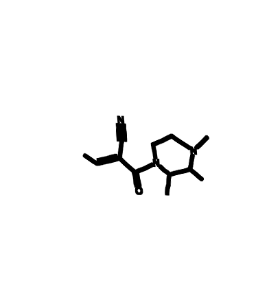 C/C=C(\C#N)C(=O)N1CCN(C)C(C)C1C